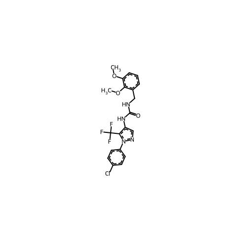 COc1cccc(CNC(=O)Nc2cnn(-c3ccc(Cl)cc3)c2C(F)(F)F)c1OC